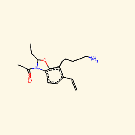 C=Cc1ccc2c(c1CCCN)OC(CC)N2C(C)=O